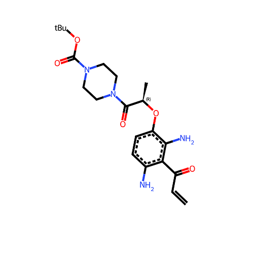 C=CC(=O)c1c(N)ccc(O[C@H](C)C(=O)N2CCN(C(=O)OC(C)(C)C)CC2)c1N